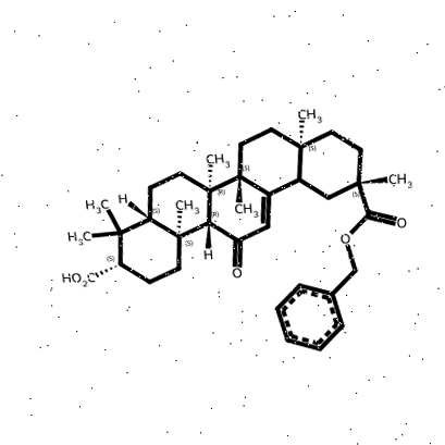 CC1(C)[C@@H](C(=O)O)CC[C@]2(C)[C@H]3C(=O)C=C4C5C[C@@](C)(C(=O)OCc6ccccc6)CC[C@]5(C)CC[C@@]4(C)[C@]3(C)CC[C@@H]12